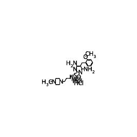 COc1ccccc1Cc1c(N)nc(SCCCCN2CCN(C)CC2)nc1N.Cl.Cl.Cl.O